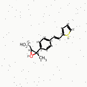 CC1(c2ccc(/C=C/c3cccs3)cc2)OC1C(=O)O